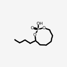 CCCCC1CCCCCOP(=O)(O)O1